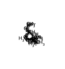 CO[C@]1(C)C[C@@H](C)CN(C)[C@H](C2CN(C(=O)CCN(C)CC(C)C)C2)COC(=O)C(C)(C)C(=O)[C@H](C)[C@H]1O[C@@H]1O[C@H](C)C[C@H](N(C)C)[C@H]1O